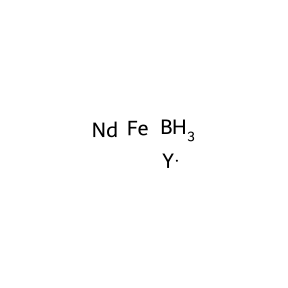 B.[Fe].[Nd].[Y]